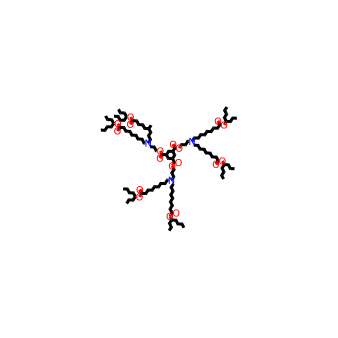 CCCCC(CCC)OC(=O)CCCCCCCCN(CCCCCCCCC(=O)OC(CCC)CCCC)CCCOC(=O)C1CC(C(=O)OCCCN(CCCCCCCCC(=O)OC(CCC)CCCC)CCCCCCCCC(=O)OC(CCC)CCCC)CC(C(=O)OCCCN(CCCCCCCCC(=O)OC(CCC)CCCC)CCCC(C)CCCCC(=O)OC(CCC)CCCC)C1